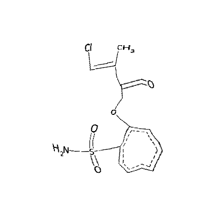 CC(=CCl)C(=O)Oc1ccccc1S(N)(=O)=O